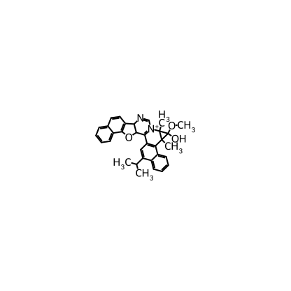 COC1(O)C2(C)c3c(cc(C(C)C)c4ccccc34)C3=[N+](C=NC4c5ccc6ccccc6c5OC34)C12C